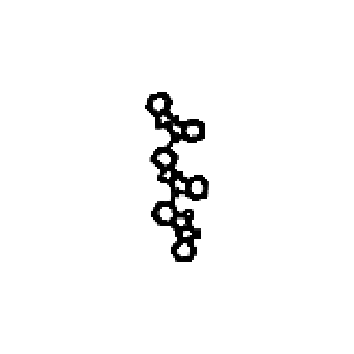 c1ccc2c(c1)cc1n(-c3ccc4cc5n(-c6cccc7c6oc6nc8ccccc8n67)c6ccccc6n5c4c3)c3ccccc3n21